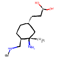 CC(C)(C)NC[C@H]1CC[C@H](CCB(O)O)C[C@@]1(N)C(=O)O